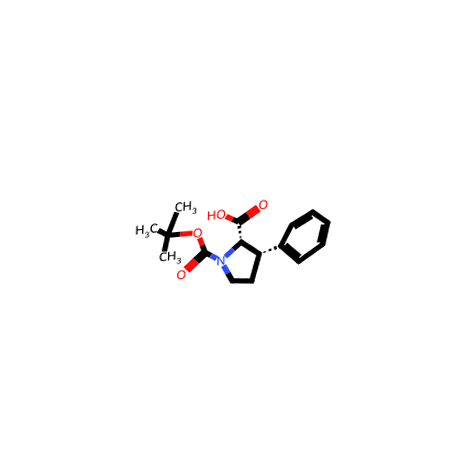 CC(C)(C)OC(=O)N1CC[C@@H](c2ccccc2)[C@H]1C(=O)O